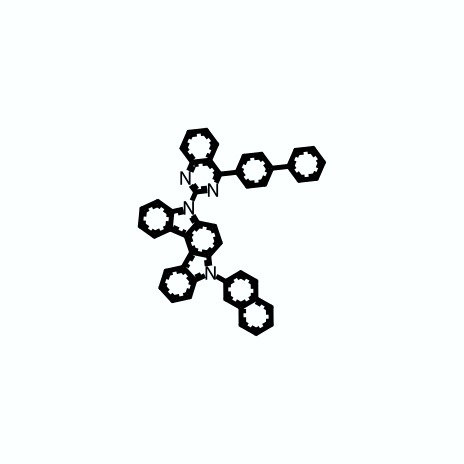 c1ccc(-c2ccc(-c3nc(-n4c5ccccc5c5c6c7ccccc7n(-c7ccc8ccccc8c7)c6ccc54)nc4ccccc34)cc2)cc1